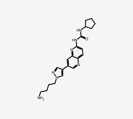 NCCCCn1cc(-c2cnc3ccc(NC(=O)NC4CCCC4)nc3c2)cn1